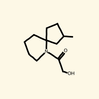 CC1CCC2(CCCCN2C(=O)CO)C1